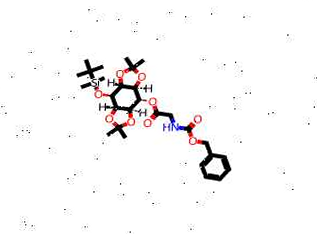 CC1(C)O[C@@H]2[C@@H](O1)[C@H](OC(=O)CNC(=O)OCc1ccccc1)[C@H]1OC(C)(C)O[C@@H]1[C@H]2O[Si](C)(C)C(C)(C)C